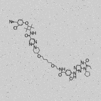 CC[C@@H]1C(=O)N(C)c2cnc(Nc3ccc(C(=O)NCCOCCCCCOC4CCN(c5ncc(C(=O)NC6C(C)(C)C(Oc7ccc(C#N)c(Cl)c7)C6(C)C)cn5)CC4)cc3OC)nc2N1C1CCCC1